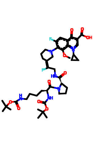 COc1c(N2CCC/C(=C(\F)CNC(=O)[C@@H]3CCCN3C(=O)[C@H](CCCCNC(=O)OC(C)(C)C)NC(=O)OC(C)(C)C)C2)c(F)cc2c(=O)c(C(=O)O)cn(C3CC3)c12